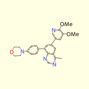 COc1cc(-c2cc(-c3ccc(N4CCOCC4)cc3)c3ncnc(C)c3c2)cnc1OC